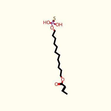 CC=CC(=O)OCCCCCCCCCCCCOP(O)(O)=S